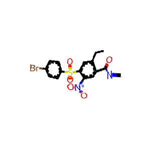 C=NC(=O)c1cc([N+](=O)[O-])c(S(=O)(=O)c2ccc(Br)cc2)cc1CC